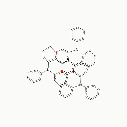 c1ccc(N(c2ccccc2)c2ccccc2-c2nc(-c3ccccc3N(c3ccccc3)c3ccccc3)nc(-c3ccccc3N(c3ccccc3)c3ccccc3)n2)cc1